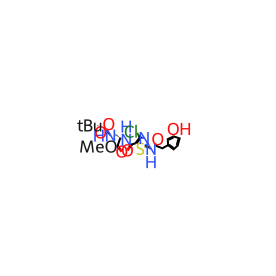 COC(=O)[C@H](CNC(=O)OC(C)(C)C)NC(=O)c1sc(NC(=O)Cc2cccc(O)c2)nc1Cl